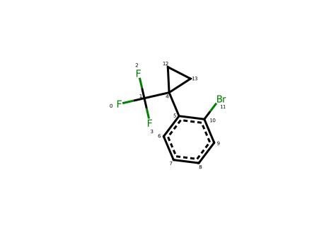 FC(F)(F)C1(c2ccccc2Br)CC1